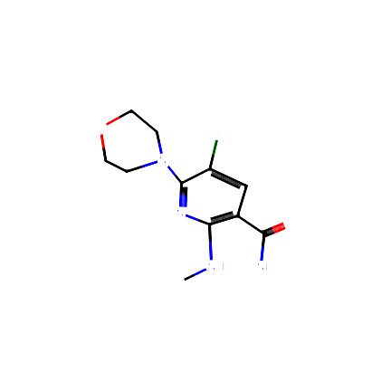 CNc1nc(N2CCOCC2)c(F)cc1C(N)=O